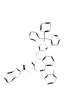 O=C(N[C@H]1N=C(c2ccccc2F)c2ccccc2N(Cc2cn(C(c3ccccc3)(c3ccccc3)c3ccccc3)cn2)C1=O)c1cc2ccccc2[nH]1